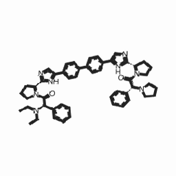 CCN(CC)[C@@H](C(=O)N1CCC[C@H]1c1ncc(-c2ccc(-c3ccc(-c4cnc([C@@H]5CCCN5C(=O)[C@@H](c5ccccc5)N5CCCC5)[nH]4)cc3)cc2)[nH]1)c1ccccc1